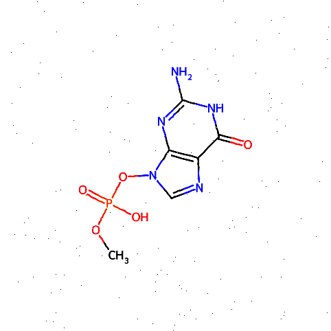 COP(=O)(O)On1cnc2c(=O)[nH]c(N)nc21